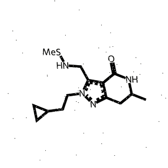 CSNCc1c2c(nn1CCC1CC1)CC(C)NC2=O